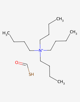 CCCC[N+](CCCC)(CCCC)CCCC.O=CS